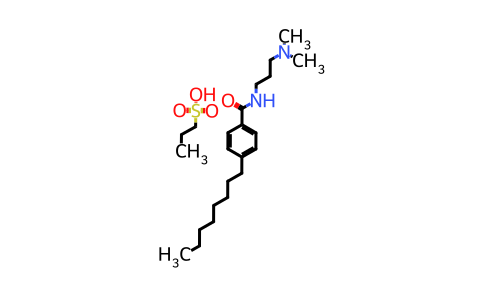 CCCCCCCCc1ccc(C(=O)NCCCN(C)C)cc1.CCCS(=O)(=O)O